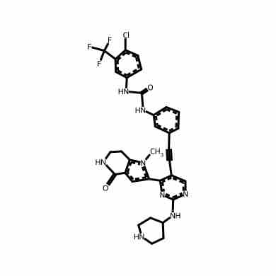 Cn1c(-c2nc(NC3CCNCC3)ncc2C#Cc2cccc(NC(=O)Nc3ccc(Cl)c(C(F)(F)F)c3)c2)cc2c1CCNC2=O